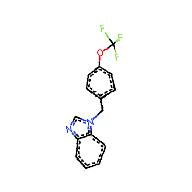 FC(F)(F)Oc1ccc(Cn2cnc3ccccc32)cc1